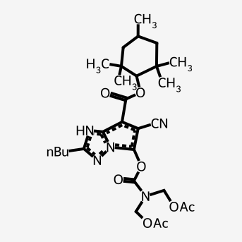 CCCCc1nn2c(OC(=O)N(COC(C)=O)COC(C)=O)c(C#N)c(C(=O)OC3C(C)(C)CC(C)CC3(C)C)c2[nH]1